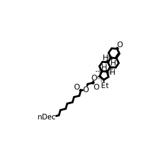 CCCCCCCCCCCCCCCCCC(=O)OCC(=O)O[C@H]1[C@@H](CC)C[C@H]2[C@@H]3CCC4=CC(=O)CC[C@@H]4[C@H]3CC[C@@]21C